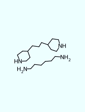 C(CC1CCNCC1)CC1CCNCC1.NCCCCCCN